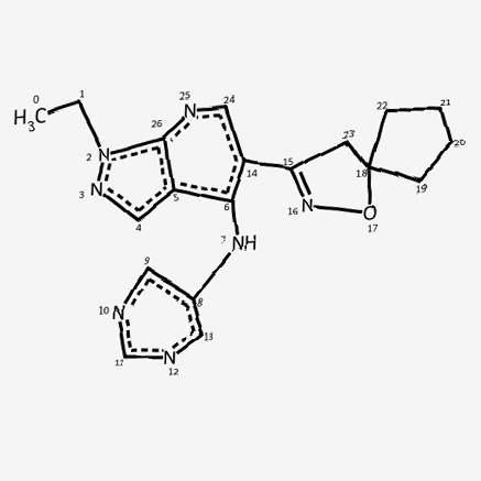 CCn1ncc2c(Nc3cncnc3)c(C3=NOC4(CCCC4)C3)cnc21